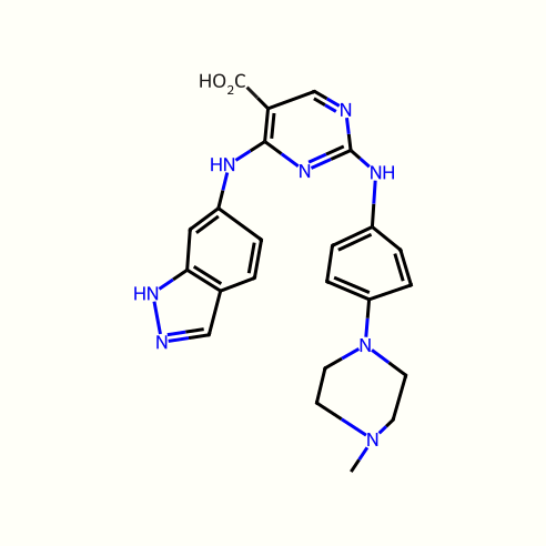 CN1CCN(c2ccc(Nc3ncc(C(=O)O)c(Nc4ccc5cn[nH]c5c4)n3)cc2)CC1